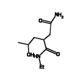 CCNC(=O)C(CC(N)=O)CC(C)O